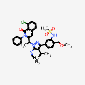 C=C(C)c1c(-c2ccc(COC)c(NS(C)(=O)=O)c2)nn(C(C)c2cc3cccc(Cl)c3c(=O)n2-c2ccccc2)c1/N=C\C